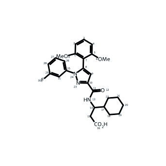 COc1cccc(OC)c1-c1cc(C(=O)NC(CC(=O)O)C2CCCCC2)nn1-c1cccc(F)c1